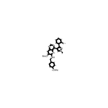 COc1ccc(CNc2nc3c(-c4cn(C)nc4-c4ccccc4F)ncnc3cc2OC)cc1